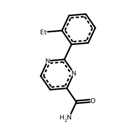 CCc1ccccc1-c1nccc(C(N)=O)n1